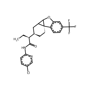 CC[C@H](C(=O)Nc1ccc(Cl)cn1)[C@@H]1CC[C@@]23c4ccc(C(F)(F)F)cc4OC2C3C1